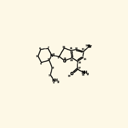 NCCC1CCCCN1C1Cc2cc(Br)cc(C(N)=O)c2O1